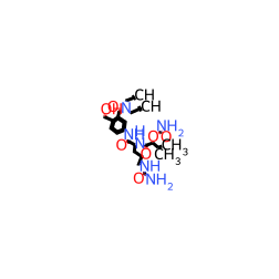 C#CCN(CC#C)C(=O)c1cc(NC(=O)C(CCCNC(N)=O)NC(=O)C(OC(N)=O)C(C)C)ccc1CO